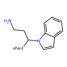 CCCCCC(CCN)n1ccc2ccccc21